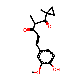 COc1cc(C=CC(=O)C(C)C(=O)C2(C)CC2)ccc1O